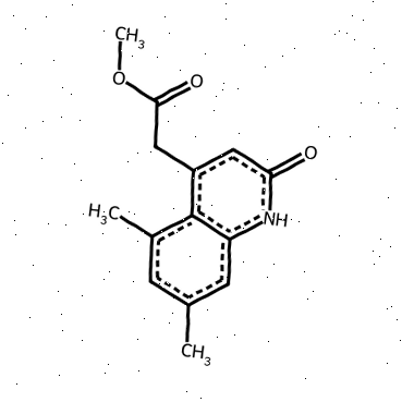 COC(=O)Cc1cc(=O)[nH]c2cc(C)cc(C)c12